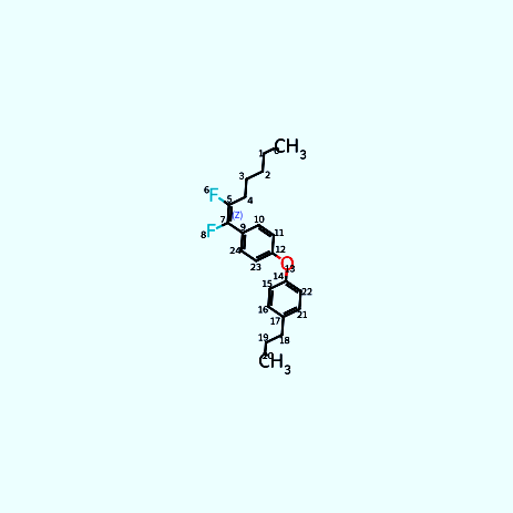 CCCCC/C(F)=C(/F)c1ccc(Oc2ccc(CCC)cc2)cc1